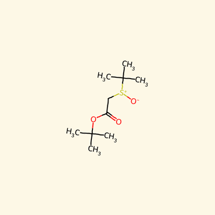 CC(C)(C)OC(=O)C[S+]([O-])C(C)(C)C